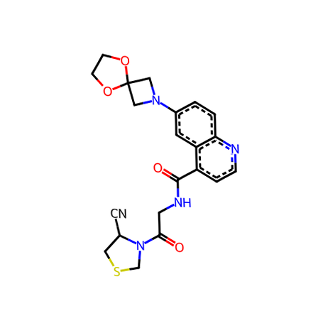 N#CC1CSCN1C(=O)CNC(=O)c1ccnc2ccc(N3CC4(C3)OCCO4)cc12